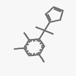 Cc1cc(C)c(C)c(C(C)(C)C2=CC=CC2)c1